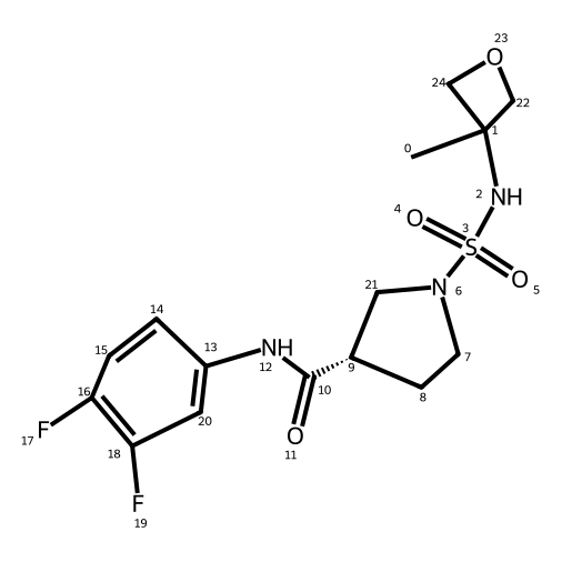 CC1(NS(=O)(=O)N2CC[C@H](C(=O)Nc3ccc(F)c(F)c3)C2)COC1